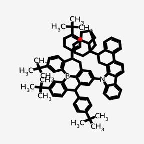 CC(C)(C)C1=CC=C(C2Cc3cc(-n4c5ccccc5c5ccc6c(c54)CC(C45CCCC7CC(CC74)C5)c4ccccc4-6)cc4c3B(c3cc(C(C)(C)C)ccc32)c2cc(C(C)(C)C)ccc2C4c2ccc(C(C)(C)C)cc2)CC1